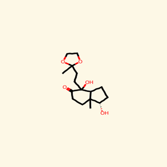 CC1(CCC2(O)C(=O)CCC3(C)C2CC[C@@H]3O)OCCO1